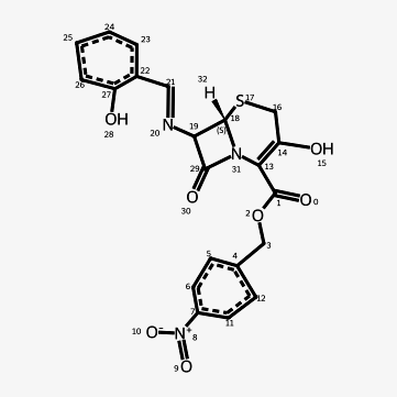 O=C(OCc1ccc([N+](=O)[O-])cc1)C1=C(O)CS[C@H]2C(N=Cc3ccccc3O)C(=O)N12